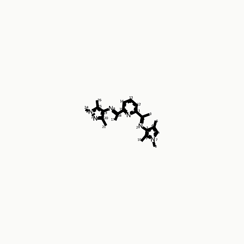 C/C(=N\c1c(C)cn(C)c1C)c1cccc(/C(C)=N/c2c(C)nn(C)c2C)n1